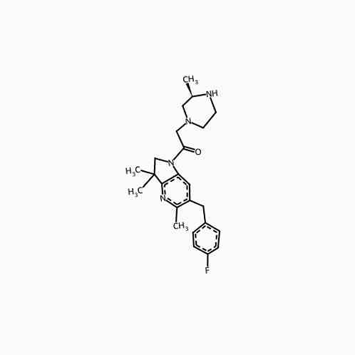 Cc1nc2c(cc1Cc1ccc(F)cc1)N(C(=O)CN1CCN[C@H](C)C1)CC2(C)C